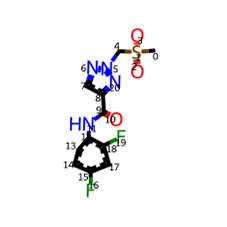 CS(=O)(=O)Cn1ncc(C(=O)Nc2ccc(F)cc2F)n1